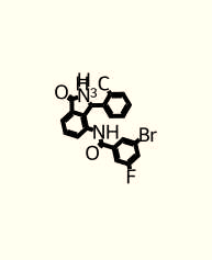 Cc1ccccc1C1NC(=O)c2cccc(NC(=O)c3cc(F)cc(Br)c3)c21